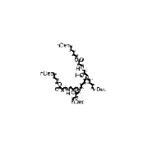 CCCCCCCCCCCCCCCOC(=O)CCNCC(O)CN(CCCCCCCCCCCCCC)CCCCN(CCCCCCCCCCCCCC)CC(O)CNCCC(=O)OCCCCCCCCCCCCCC